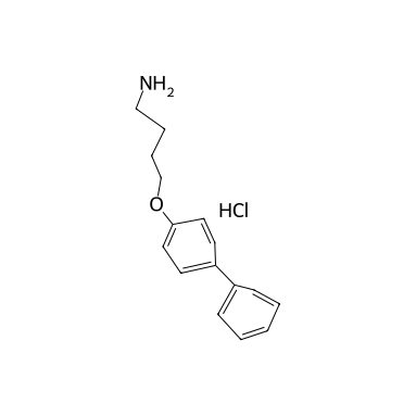 Cl.NCCCCOc1ccc(-c2ccccc2)cc1